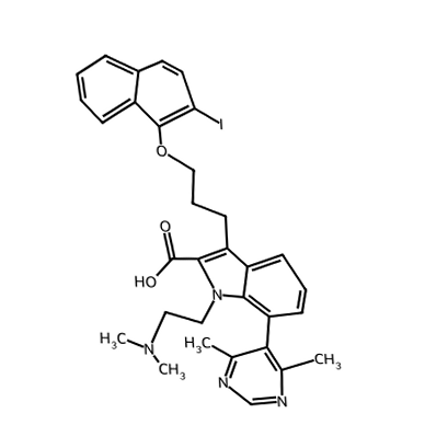 Cc1ncnc(C)c1-c1cccc2c(CCCOc3c(I)ccc4ccccc34)c(C(=O)O)n(CCN(C)C)c12